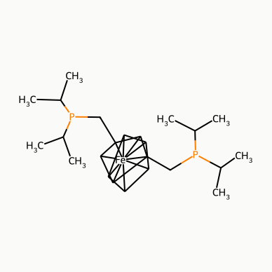 CC(C)P(C[C]12[CH]3[CH]4[C]5(CP(C(C)C)C(C)C)[CH]1[Fe]34251678[CH]2[CH]1[CH]6[CH]7[CH]28)C(C)C